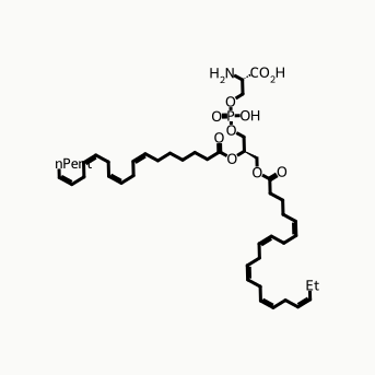 CC/C=C\C/C=C\C/C=C\C/C=C\C/C=C\CCCC(=O)OC[C@H](COP(=O)(O)OC[C@H](N)C(=O)O)OC(=O)CCCCC/C=C\C/C=C\C/C=C\C/C=C\CCCCC